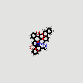 C=C(/N=C(\NC(C)c1cccc2oc3cccc(-c4ccc5c(c4)oc4ccccc45)c3c12)c1ccc2c(ccc3ccccc32)c1)c1ccccc1